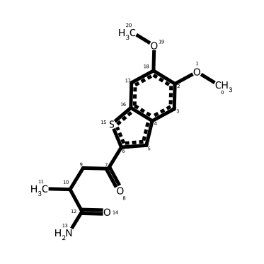 COc1cc2cc(C(=O)CC(C)C(N)=O)sc2cc1OC